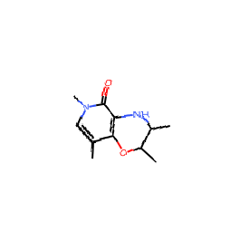 Cc1cn(C)c(=O)c2c1OC(C)C(C)N2